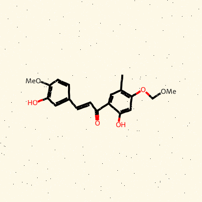 COCOc1cc(O)c(C(=O)C=Cc2ccc(OC)c(O)c2)cc1C